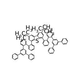 CC(C)(C)c1cc(-c2ccccc2-c2ccccc2-c2cc(-c3ccccc3)cc(-c3ccccc3)c2)c2sc3c(-c4ccccc4-c4ccccc4-c4cc(-c5ccccc5)cc(-c5ccccc5)c4)cc(C(C)(C)C)cc3c2c1